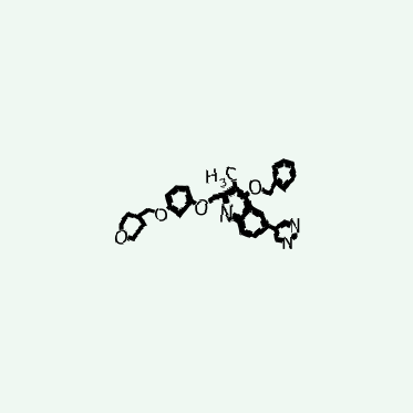 Cc1c(COc2cccc(OCC3CCOCC3)c2)nc2ccc(-c3cncnc3)cc2c1OCc1ccccc1